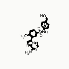 Cc1ccc(S(=O)(=O)NC23CCC(CO)(CC2)OC3)cc1-c1cnc2c(N)ncnn12